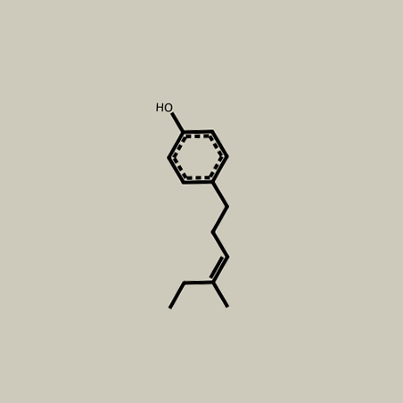 CCC(C)=CCCc1ccc(O)cc1